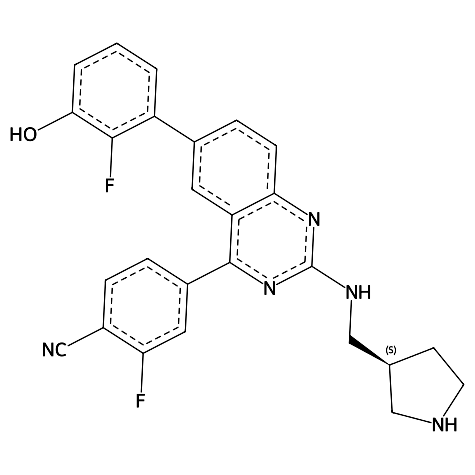 N#Cc1ccc(-c2nc(NC[C@H]3CCNC3)nc3ccc(-c4cccc(O)c4F)cc23)cc1F